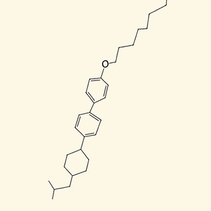 CCCCCCCCOc1ccc(-c2ccc(C3CCC(CC(C)C)CC3)cc2)cc1